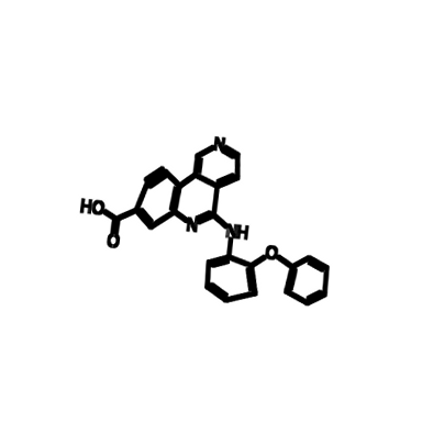 O=C(O)c1c#cc2c(c1)nc(Nc1ccccc1Oc1ccccc1)c1ccncc12